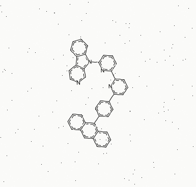 c1cc(-c2ccc(-c3c4ccccc4cc4ccccc34)cc2)nc(-c2cccc(-n3c4ccccc4c4ccncc43)n2)c1